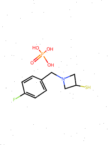 Fc1ccc(CN2CC(S)C2)cc1.O=P(O)(O)O